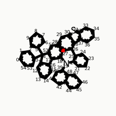 c1ccc(C2(c3ccccc3)c3ccccc3-c3c(N(c4ccccc4-c4cccc5sc6ccccc6c45)c4cccc5ccccc45)cccc32)cc1